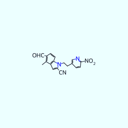 Cc1c(C=O)ccc2c1cc(C#N)n2CCc1ccc([N+](=O)[O-])nc1